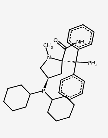 CN1C[C@H](P(C2CCCCC2)C2CCCCC2)C[C@@]1(C(N)=O)C(P)(c1ccccc1)c1ccccc1